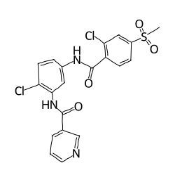 CS(=O)(=O)c1ccc(C(=O)Nc2ccc(Cl)c(NC(=O)c3cccnc3)c2)c(Cl)c1